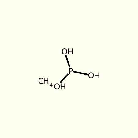 C.OP(O)O